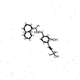 C[C@@H](NCc1ccc(C#CC(C)(C)O)c(O)c1)c1cccc2ccccc12